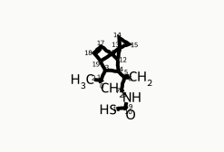 C=C(C)C1C(C(=C)CNC(=O)S)C2C3(CC3)C23C=CC13